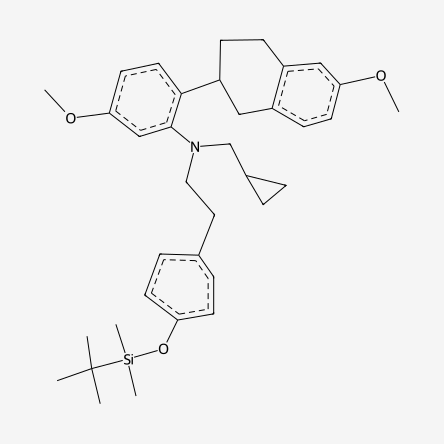 COc1ccc2c(c1)CCC(c1ccc(OC)cc1N(CCc1ccc(O[Si](C)(C)C(C)(C)C)cc1)CC1CC1)C2